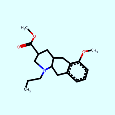 CCCN1CC(C(=O)OC)CC2Cc3c(cccc3OC)CC21